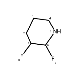 FC1CCCNC1F